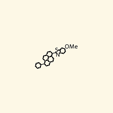 COc1ccc2nc(-c3ccc4ccc5c(-c6ccccc6)ccc6ccc3c4c65)sc2c1